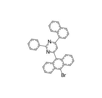 Brc1c2ccccc2c(-c2cc(-c3cccc4ccccc34)nc(-c3ccccc3)n2)c2ccccc12